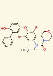 O=C(O)CN(C(=O)N1CCOCC1)c1cc(Br)c(Oc2ccc(O)c(-c3ccccc3)c2)c(Br)c1